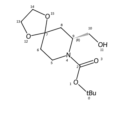 CC(C)(C)OC(=O)N1CCC2(C[C@@H]1CO)OCCO2